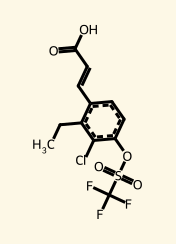 CCc1c(C=CC(=O)O)ccc(OS(=O)(=O)C(F)(F)F)c1Cl